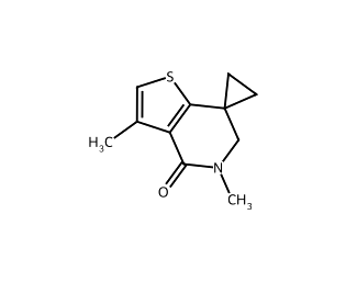 Cc1csc2c1C(=O)N(C)CC21CC1